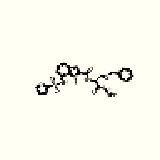 CCCNC(=O)[C@H](CSCc1ccccc1)NC(=O)c1cc2cccc(NS(=O)(=O)c3cccs3)c2[nH]1